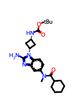 CN(C(=O)C1CCCCC1)c1ccc2c(c1)nc(N)n2[C@H]1C[C@@H](NC(=O)OC(C)(C)C)C1